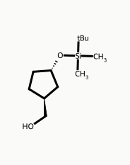 CC(C)(C)[Si](C)(C)O[C@H]1CC[C@H](CO)C1